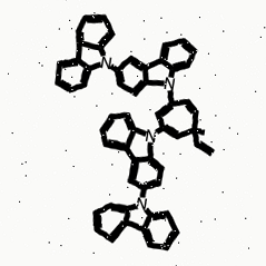 C=CC1(C)C=CC(n2c3ccccc3c3cc(-n4c5ccccc5c5ccccc54)ccc32)=CC(n2c3ccccc3c3cc(-n4c5ccccc5c5ccccc54)ccc32)=C1